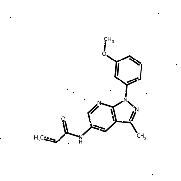 C=CC(=O)Nc1cnc2c(c1)c(C)nn2-c1cccc(OC)c1